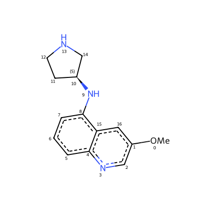 COc1cnc2cccc(N[C@H]3CCNC3)c2c1